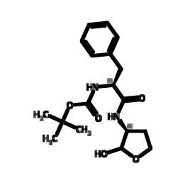 CC(C)(C)OC(=O)N[C@@H](Cc1ccccc1)C(=O)N[C@H]1CCOC1O